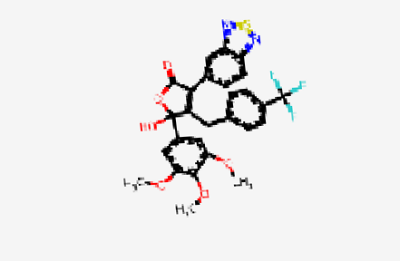 COc1cc(C2(O)OC(=O)C(c3ccc4nsnc4c3)=C2Cc2ccc(C(F)(F)F)cc2)cc(OC)c1OC